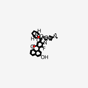 CN(C)C1CN(c2nc(N3C[C@H]4CC[C@@H](C3)N4C(=O)OC(C)(C)C)c3cc(Cl)c(-c4cc(O)cc5cccc(F)c45)c(F)c3n2)C1